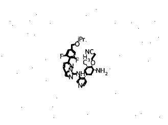 CC(C)OCc1cc(F)c(-c2ccc3cnc(Nc4cnccc4[C@H]4C[C@@H](N)[C@@H](OCCC#N)[C@@H](C)C4)n3n2)c(F)c1